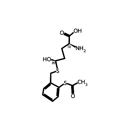 CC(=O)Sc1ccccc1CS[C@@H](O)CC[C@H](N)C(=O)O